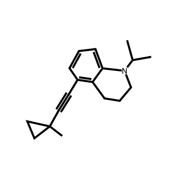 CC(C)N1CCCc2c(C#CC3(C)CC3)cccc21